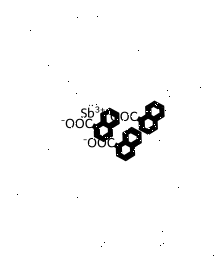 O=C([O-])c1cccc2ccccc12.O=C([O-])c1cccc2ccccc12.O=C([O-])c1cccc2ccccc12.[Sb+3]